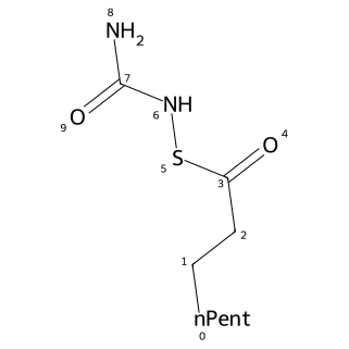 CCCCCCCC(=O)SNC(N)=O